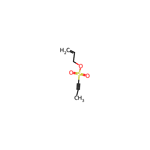 C=CCOS(=O)(=O)C#CC